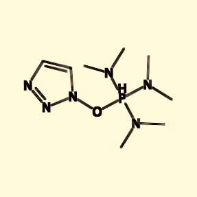 CN(C)[PH](On1ccnn1)(N(C)C)N(C)C